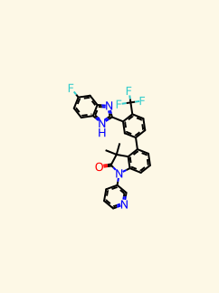 CC1(C)C(=O)N(c2cccnc2)c2cccc(-c3ccc(C(F)(F)F)c(-c4nc5cc(F)ccc5[nH]4)c3)c21